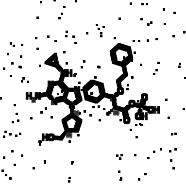 C[C@@H](C(=O)OP(=O)(O)O)N(OCCc1ccccc1)c1ccccc1.Nc1nc(NC2CC2)c2ncn([C@H]3C=C[C@@H](CO)C3)c2n1